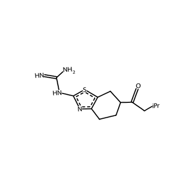 CC(C)CC(=O)C1CCc2nc(NC(=N)N)sc2C1